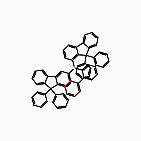 c1ccc(-c2ccccc2N(c2ccc3c(c2)-c2ccccc2C3(c2ccccc2)c2ccccc2)c2cccc3c2C(c2ccccc2)(c2ccccc2)c2ccccc2-3)cc1